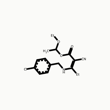 CCOC(C)OC(=O)C(C#N)=C(CC)NCc1ccc(Cl)cc1